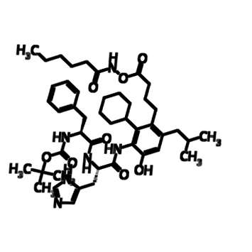 CCCCCC(=O)NOC(=O)CCCc1c(CC(C)C)cc(O)c(NC(=O)[C@H](Cc2cnc[nH]2)NC(=O)[C@H](Cc2ccccc2)NC(=O)OC(C)(C)C)c1C1CCCCC1